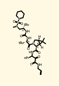 C=CCNC(=O)C(=O)C(CCC)NC(=O)[C@@H]1[C@@H]2[C@H](CN1C(=O)[C@@H](NC(=O)N[C@H](CN(C)S(=O)(=O)N1CCCCC1)C(C)(C)C)C(C)(C)C)C2(C)C